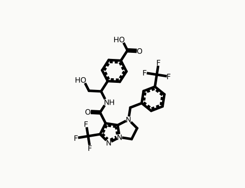 O=C(O)c1ccc(C(CO)NC(=O)c2c(C(F)(F)F)nn3c2N(Cc2cccc(C(F)(F)F)c2)CC3)cc1